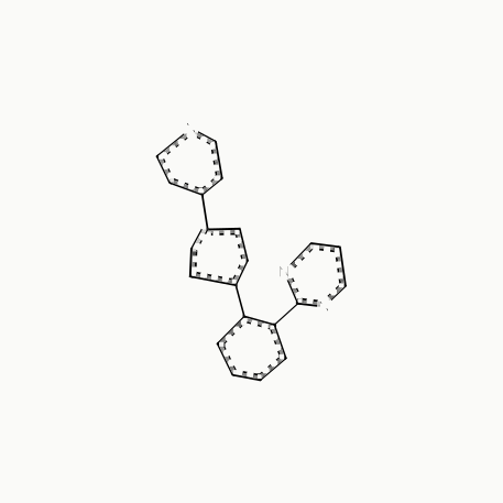 [c]1cccc(-c2ccc(-c3ccncc3)cc2)c1-c1ncccn1